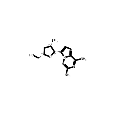 C[C@H]1C[C@@H](CO)O[C@H]1c1cnc2c(N)nc(N)nn12